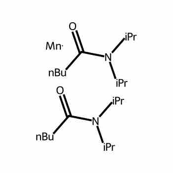 CCCCC(=O)N(C(C)C)C(C)C.CCCCC(=O)N(C(C)C)C(C)C.[Mn]